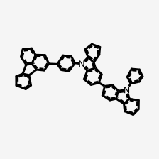 c1ccc(-n2c3ccccc3c3ccc(-c4ccc5c(c4)c4ccccc4n5-c4ccc(-c5cc6c7c(cccc7c5)-c5ccccc5-6)cc4)cc32)cc1